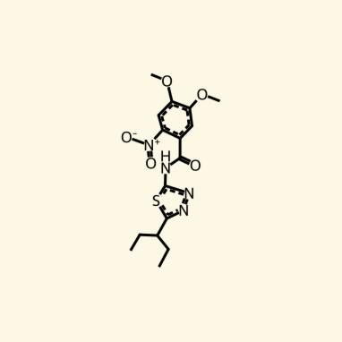 CCC(CC)c1nnc(NC(=O)c2cc(OC)c(OC)cc2[N+](=O)[O-])s1